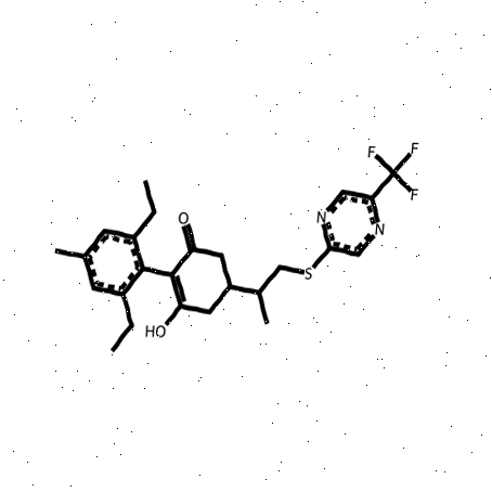 CCc1cc(C)cc(CC)c1C1=C(O)CC(C(C)CSc2cnc(C(F)(F)F)cn2)CC1=O